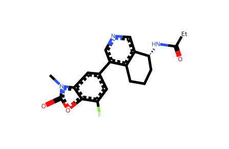 CCC(=O)N[C@@H]1CCCc2c(-c3cc(F)c4oc(=O)n(C)c4c3)cncc21